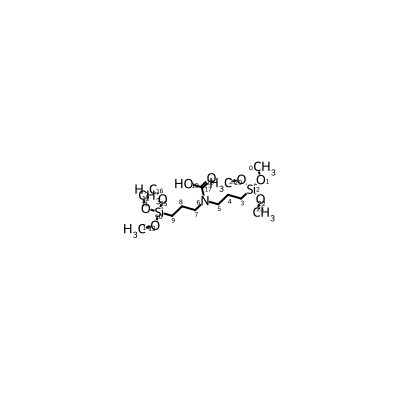 CO[Si](CCCN(CCC[Si](OC)(OC)OC)C(=O)O)(OC)OC